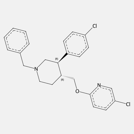 Clc1ccc([C@@H]2CN(Cc3ccccc3)CC[C@H]2COc2ccc(Cl)cn2)cc1